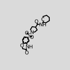 O=C1COc2ccc(S(=O)(=O)N3CCC(C(=O)NC4CCCCCC4)CC3)cc2N1